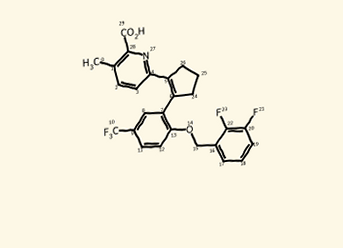 Cc1ccc(C2=C(c3cc(C(F)(F)F)ccc3OCc3cccc(F)c3F)CCC2)nc1C(=O)O